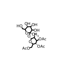 CC(=O)OCC1O[C@H](O[C@@]2(C)OC(CO)[C@@H](O)C(O)C2O)C(F)C(OC(C)=O)[C@@H]1OC(C)=O